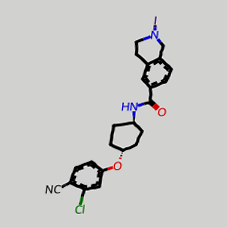 N#Cc1ccc(O[C@H]2CC[C@H](NC(=O)c3ccc4c(c3)CCN(I)C4)CC2)cc1Cl